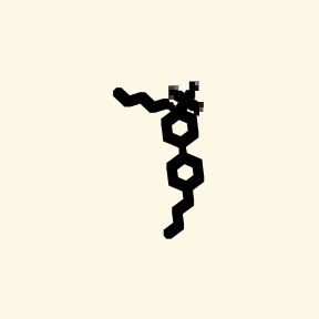 CCCCC[C@]1(C(F)(F)F)CC[C@@H](C2CCC(CCCC)CC2)CC1